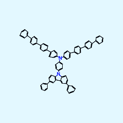 c1ccc(-c2ccc(-c3ccc(-c4ccc(N(c5ccc(-c6ccc(-c7ccc(-c8ccccc8)cc7)cc6)cc5)c5ccc(-n6c7ccc(-c8ccccc8)cc7c7cc(-c8ccccc8)ccc76)cc5)cc4)cc3)cc2)cc1